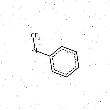 FC(F)(F)[N]c1ccccc1